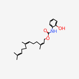 CC(C)=CCCC(C)=CCCC(C)=CCOC(=O)Nc1ccccc1O